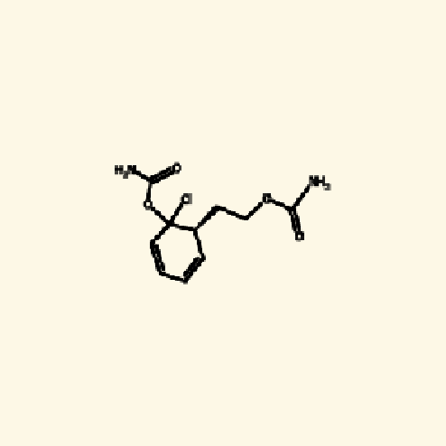 NC(=O)OCC[C@H]1C=CC=CC1(Cl)OC(N)=O